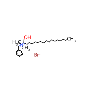 CCCCCCCCCCCCCCCCC(CO)[N+](C)(C)Cc1ccccc1.[Br-]